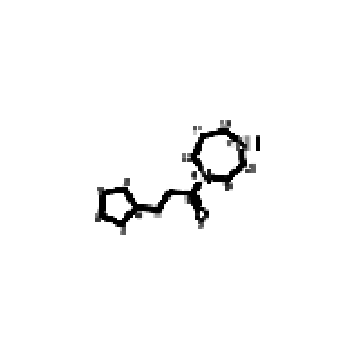 O=C(CCC1CCCC1)N1CCCNCC1